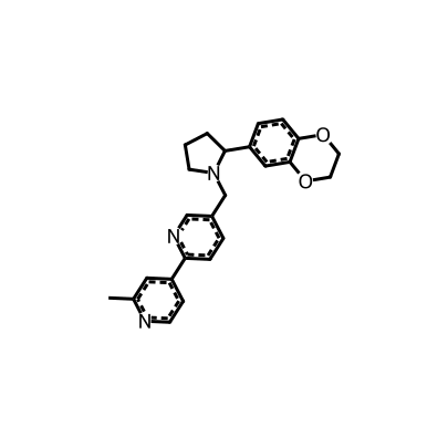 Cc1cc(-c2ccc(CN3CCCC3c3ccc4c(c3)OCCO4)cn2)ccn1